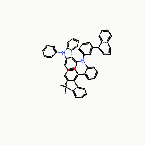 CC1(C)c2ccccc2-c2c(-c3ccccc3N(c3cccc(-c4cccc5ccccc45)c3)c3cccc4c3c3ccccc3n4-c3ccccc3)cccc21